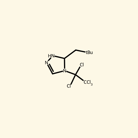 CC(C)(C)CC1NN=CN1C(Cl)(Cl)C(Cl)(Cl)Cl